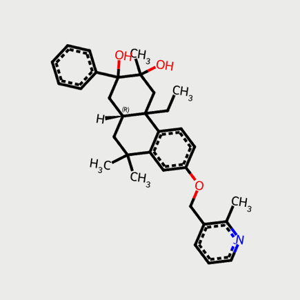 CCC12CC(C)(O)C(O)(c3ccccc3)C[C@H]1CC(C)(C)c1cc(OCc3cccnc3C)ccc12